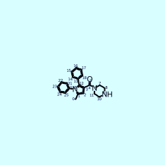 Cc1cc(C(=O)N2CCNCC2)c(-c2ccccc2)n1-c1ccccc1